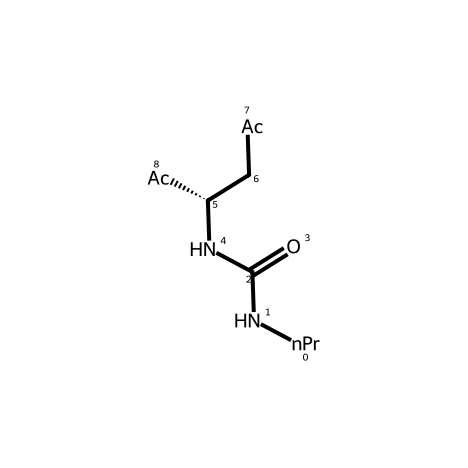 CCCNC(=O)N[C@@H](CC(C)=O)C(C)=O